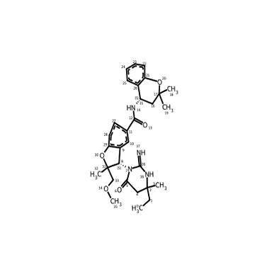 CCC1(C)CC(=O)N([C@H]2c3cc(C(=O)N[C@H]4CC(C)(C)Oc5ccccc54)ccc3OC2(C)COC)C(=N)N1